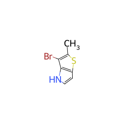 Cc1sc2cc[nH]c2c1Br